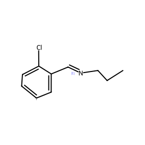 CCC/N=C/c1c[c]ccc1Cl